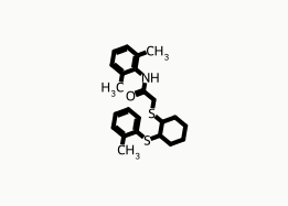 Cc1ccccc1SC1CCCCC1SCC(=O)Nc1c(C)cccc1C